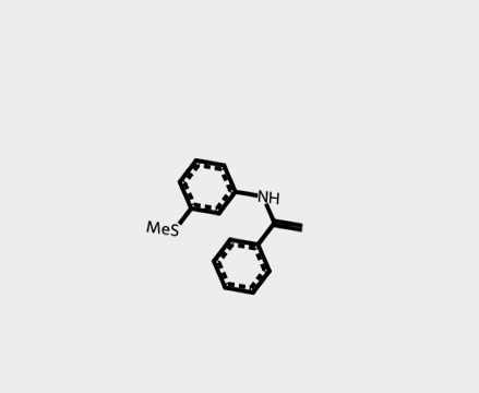 C=C(Nc1cccc(SC)c1)c1ccccc1